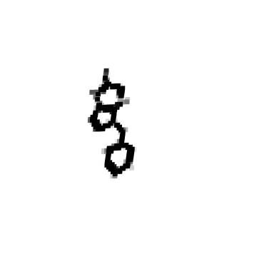 Brc1cnc2c(ccn2Cc2ccccc2)n1